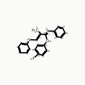 CC(=C\Sc1ccccc1)/C(=N/c1ccccc1)Oc1ccc(F)cc1